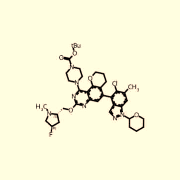 Cc1cc2c(cnn2C2CCCCO2)c(-c2cc3nc(OC[C@@H]4C[C@@H](F)CN4C)nc(N4CCN(C(=O)OC(C)(C)C)CC4)c3c3c2CCCO3)c1Cl